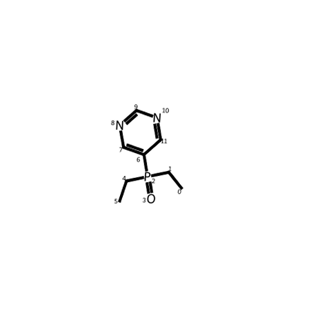 CCP(=O)(CC)c1cncnc1